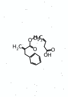 C=C(Cc1ccccc1)C(=O)OC.C=CCC(=O)O